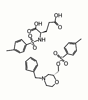 Cc1ccc(S(=O)(=O)N[C@H](CCC(=O)O)C(=O)O)cc1.Cc1ccc(S(=O)(=O)OC[C@H]2CN(Cc3ccccc3)CCO2)cc1